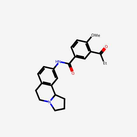 CCC(=O)c1cc(C(=O)Nc2ccc3c(c2)C2CCCN2CC3)ccc1OC